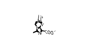 Cc1nc(C(=O)[O-])c2ncccn12.[Li+]